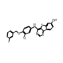 Oc1ccc2c(c1)sc1c(Nc3ccc(OCc4cccc(F)c4)c(Cl)c3)ncnc12